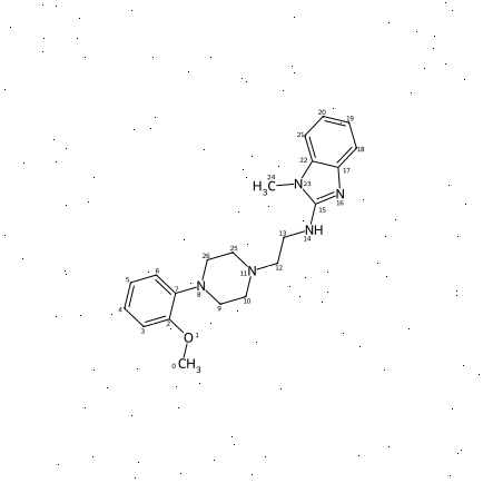 COc1ccccc1N1CCN(CCNc2nc3ccccc3n2C)CC1